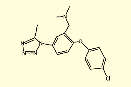 Cc1nnnn1-c1ccc(Oc2ccc(Cl)cc2)c(CN(C)C)c1